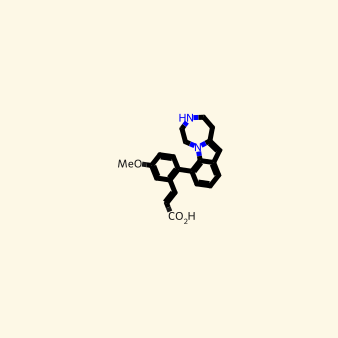 COc1ccc(-c2cccc3cc4n(c23)CCNCC4)c(/C=C/C(=O)O)c1